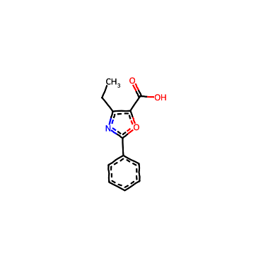 CCc1nc(-c2ccccc2)oc1C(=O)O